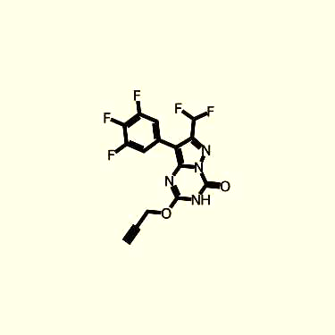 C#CCOc1nc2c(-c3cc(F)c(F)c(F)c3)c(C(F)F)nn2c(=O)[nH]1